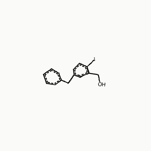 OCc1cc(Cc2ccccc2)ccc1I